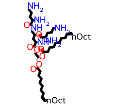 CCCCCCCC/C=C\CCCCCCCC(=O)OC[C@H](COC(=O)C(CCCNC(=O)C(N)CCCN)NC(=O)C(N)CCCN)OC(=O)CCCCCCC/C=C\CCCCCCCC